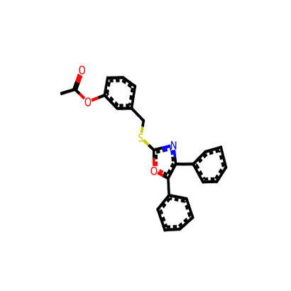 CC(=O)Oc1cccc(CSc2nc(-c3ccccc3)c(-c3ccccc3)o2)c1